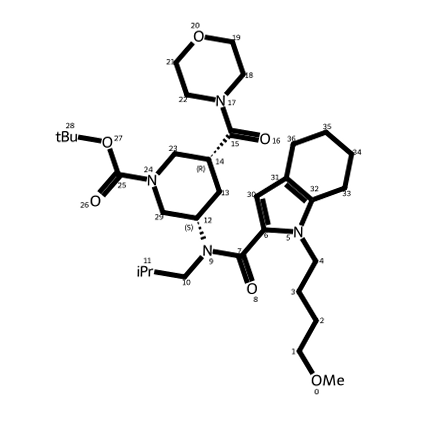 COCCCCn1c(C(=O)N(CC(C)C)[C@H]2C[C@@H](C(=O)N3CCOCC3)CN(C(=O)OC(C)(C)C)C2)cc2c1CCCC2